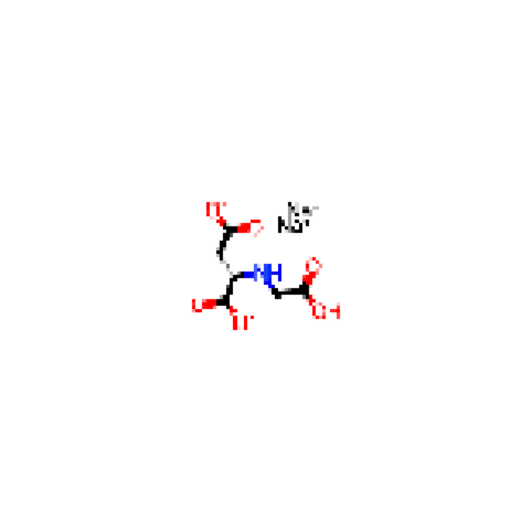 O=C([O-])C[C@H](NCC(=O)O)C(=O)[O-].[Na+].[Na+]